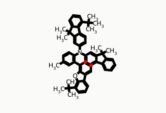 Cc1ccc(N(c2ccc3c(c2)C(C)(C)c2ccccc2-3)c2ccc3c(c2)C(C)(C)c2cccc(C(C)(C)C)c2-3)c(-c2cccc3c2oc2c(C(C)(C)C)cccc23)c1